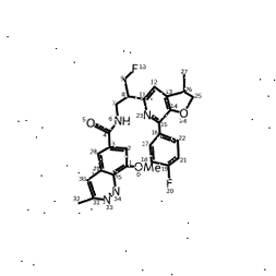 COc1cc(C(=O)NCC(CF)c2cc3c(c(-c4ccc(F)cc4)n2)OCC3C)cc2cc(C)nnc12